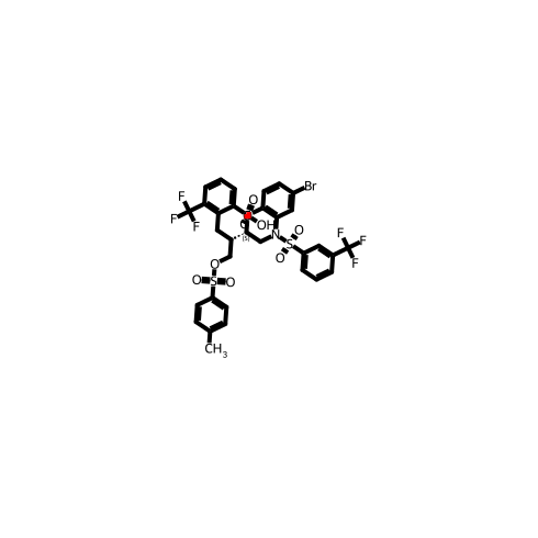 Cc1ccc(S(=O)(=O)OCC(Cc2c(C(F)(F)F)cccc2S(=O)(=O)O)[C@H]2CN(S(=O)(=O)c3cccc(C(F)(F)F)c3)c3cc(Br)ccc3O2)cc1